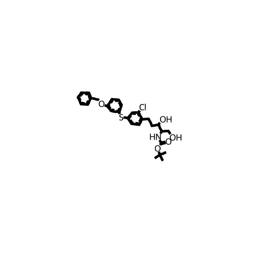 CC(C)(C)OC(=O)NC(CO)C(O)CCc1ccc(Sc2cccc(OCc3ccccc3)c2)cc1Cl